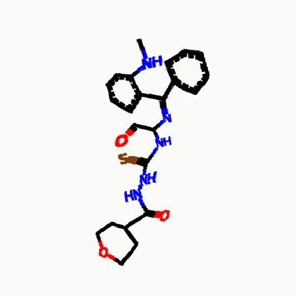 CNc1ccccc1/C(=N\C(C=O)NC(=S)NNC(=O)C1CCOCC1)c1ccccc1